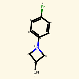 N#CC1CN(c2ccc(Br)cc2)C1